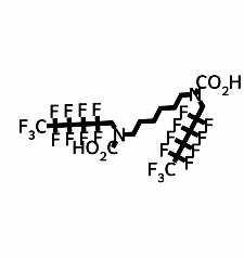 O=C(O)N(CCCCCCN(CC(F)(F)C(F)(F)C(F)(F)C(F)(F)C(F)(F)F)C(=O)O)CC(F)(F)C(F)(F)C(F)(F)C(F)(F)C(F)(F)F